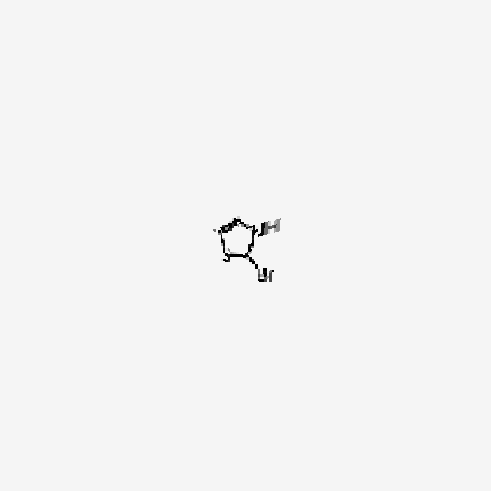 BrC1NC=[C]S1